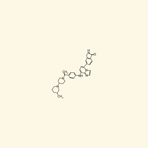 C=C(c1ccc(Nc2ccc(-c3ccc4c(c3)CNC4=O)n3ccnc23)cc1)N1CCC(N2CCCC(C)C2)CC1